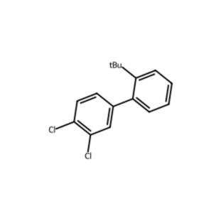 CC(C)(C)c1ccccc1-c1ccc(Cl)c(Cl)c1